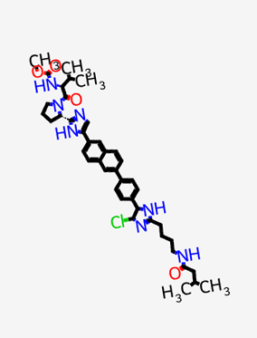 COC(=O)N[C@H](C(=O)N1CCC[C@H]1c1ncc(-c2ccc3cc(-c4ccc(C5NC(CCCCNC(=O)CC(C)C)=NC5Cl)cc4)ccc3c2)[nH]1)C(C)C